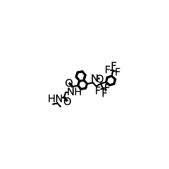 CC(C)NC(=O)CNC(=O)c1ccc(C2=NOC(c3cccc(C(F)(F)F)c3)(C(F)(F)F)C2)c2ccccc12